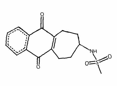 CS(=O)(=O)NC1CCC2=C(CC1)C(=O)c1ccccc1C2=O